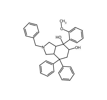 COc1ccccc1C1(O)C(O)CC(c2ccccc2)(c2ccccc2)C2CN(Cc3ccccc3)CC21